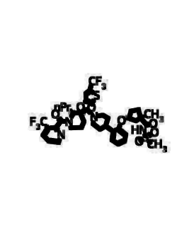 CCC[C@H]1N(C(=O)c2ncccc2C(F)(F)F)CCC[C@@]1(Oc1csc(C(F)(F)F)c1)C(=O)N1CCC(c2ccccc2O[C@@H]2CC[C@](C)(C(=O)NS(C)(=O)=O)C2)CC1